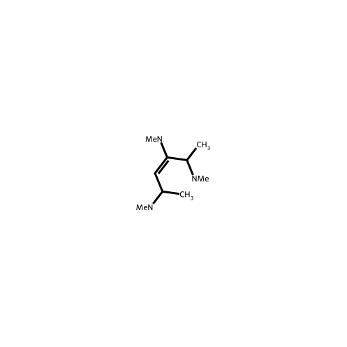 CNC(=CC(C)NC)C(C)NC